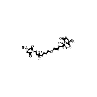 CCN1CC(=O)N(CCC(CC)(CC)CCCCOCCCCC(CC)(CC)N2C(=O)CN(CC)C2=O)C1=O